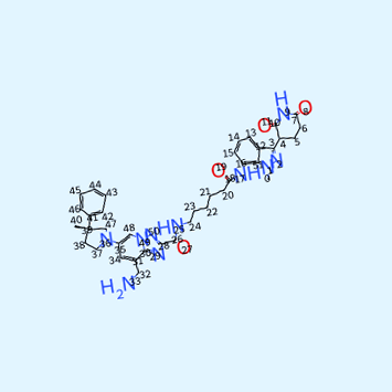 Cn1nc(C2CCC(=O)NC2=O)c2cccc(NC(=O)CCCCCNC(=O)c3nc4c(CN)cc(N5CC[C@](C)(c6ccccc6)C5)cn4n3)c21